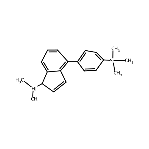 [CH3][Hf]([CH3])[CH]1C=Cc2c(-c3ccc([Si](C)(C)C)cc3)cccc21